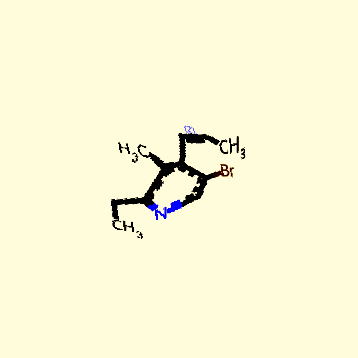 C/C=C\c1c(Br)cnc(CC)c1C